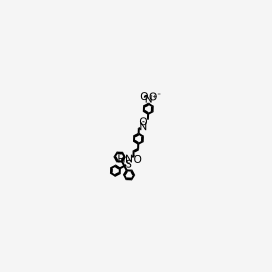 O=C(/C=C/c1ccc(C=NOCc2ccc([N+](=O)[O-])cc2)cc1)NSC(c1ccccc1)(c1ccccc1)c1ccccc1